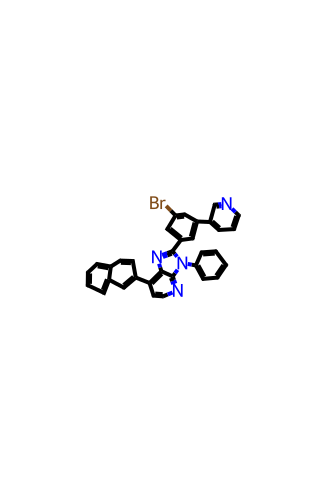 Brc1cc(-c2cccnc2)cc(-c2nc3c(-c4ccc5ccccc5c4)ccnc3n2-c2ccccc2)c1